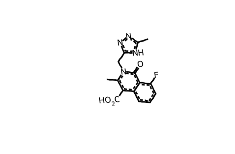 Cc1nnc(Cn2c(C)c(C(=O)O)c3cccc(F)c3c2=O)[nH]1